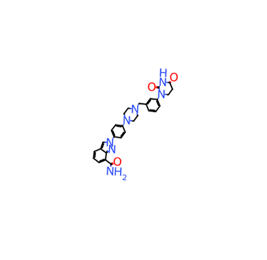 NC(=O)c1cccc2cn(-c3ccc(N4CCN(Cc5cccc(N6CCC(=O)NC6=O)c5)CC4)cc3)nc12